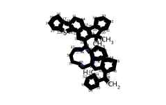 C=C(C1=c2\cccc\c2=C(c2cc3c(ccc4c5ccccc5sc34)c3c2C(C)(C)c2ccccc2-3)\C=C\CC\C=C\1)c1ccccc1C(=C)c1ccccc1